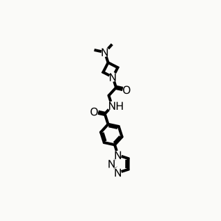 CN(C)C1CN(C(=O)CNC(=O)c2ccc(-n3ccnn3)cc2)C1